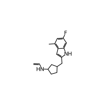 C=CNC1CCC(Cc2cc3c(C)cc(F)cc3[nH]2)C1